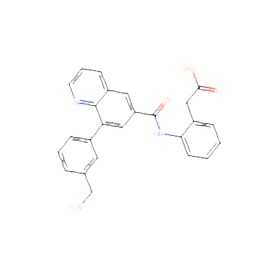 NCc1cccc(-c2cc(C(=O)Nc3ccccc3CC(=O)O)cc3cccnc23)c1